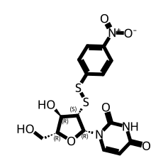 O=c1ccn([C@@H]2O[C@H](CO)[C@@H](O)[C@@H]2SSc2ccc([N+](=O)[O-])cc2)c(=O)[nH]1